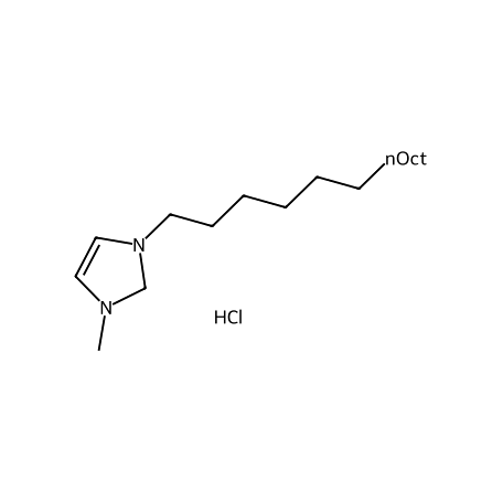 CCCCCCCCCCCCCCN1C=CN(C)C1.Cl